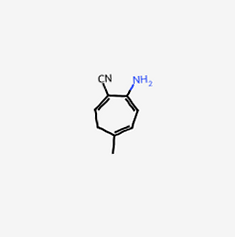 CC1=CC=C(N)C(C#N)=CC1